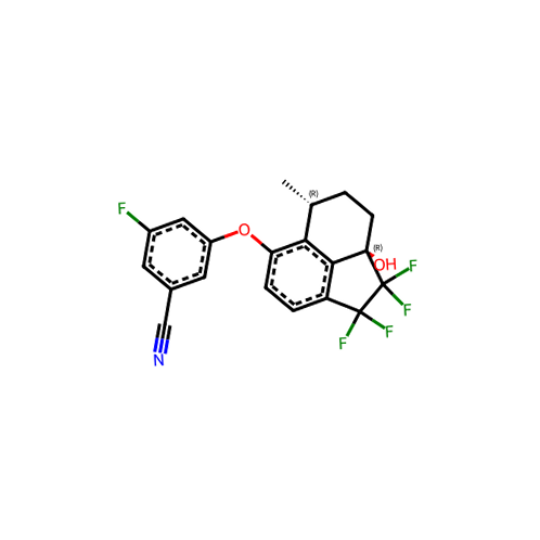 C[C@@H]1CC[C@@]2(O)c3c(ccc(Oc4cc(F)cc(C#N)c4)c31)C(F)(F)C2(F)F